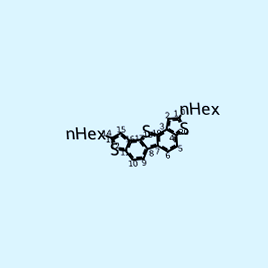 CCCCCCc1cc2c(ccc3c4ccc5sc(CCCCCC)cc5c4sc23)s1